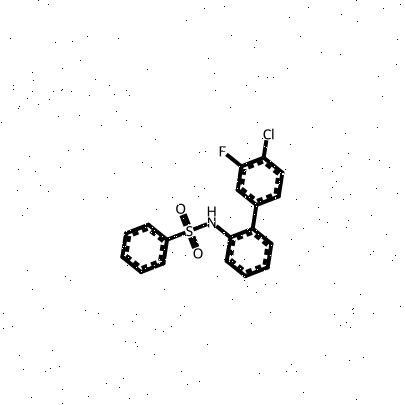 O=S(=O)(Nc1ccccc1-c1ccc(Cl)c(F)c1)c1ccccc1